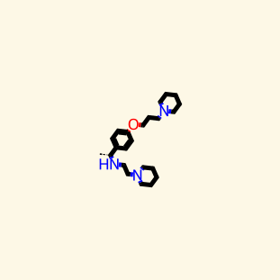 C[C@@H](NCCN1CCCCC1)c1ccc(OCCCN2CCCCC2)cc1